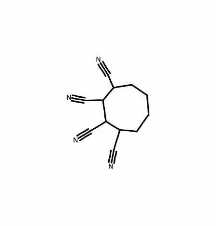 N#CC1CCCCC(C#N)C(C#N)C1C#N